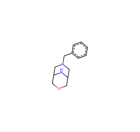 c1ccc(CN2CC3COCC(C2)N3)cc1